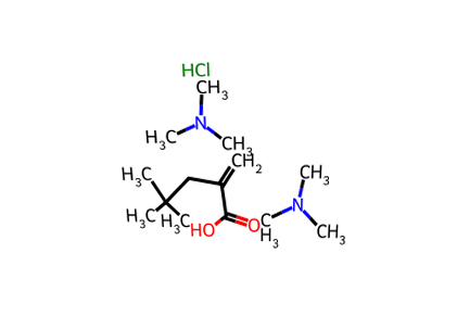 C=C(CC(C)(C)C)C(=O)O.CN(C)C.CN(C)C.Cl